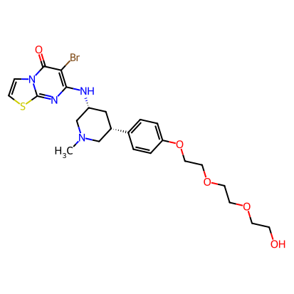 CN1C[C@H](Nc2nc3sccn3c(=O)c2Br)C[C@H](c2ccc(OCCOCCOCCO)cc2)C1